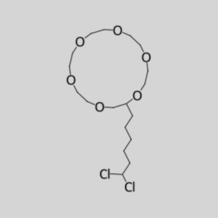 ClC(Cl)CCCCCC1COCCOCCOCCOCCOCCO1